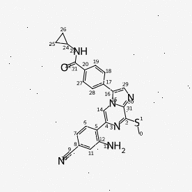 CSc1nc(-c2ccc(C#N)cc2N)cn2c(-c3ccc(C(=O)NC4CC4)cc3)cnc12